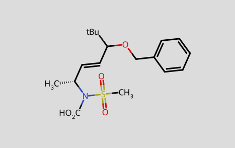 C[C@H](C=CC(OCc1ccccc1)C(C)(C)C)N(C(=O)O)S(C)(=O)=O